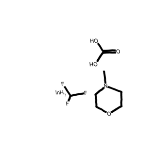 CN1CCOCC1.FC(F)F.O=C(O)O.[InH3]